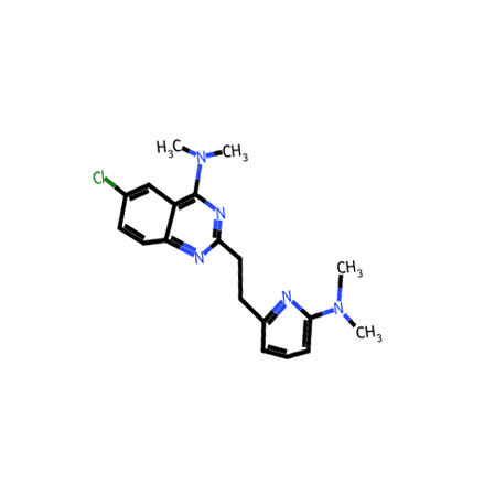 CN(C)c1cccc(CCc2nc(N(C)C)c3cc(Cl)ccc3n2)n1